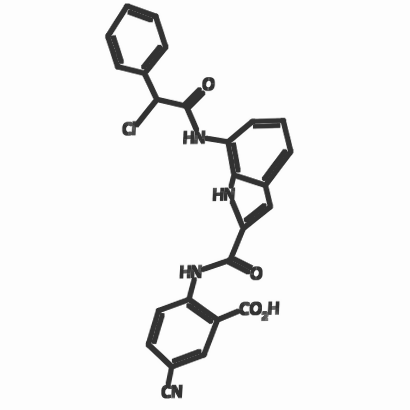 N#Cc1ccc(NC(=O)c2cc3cccc(NC(=O)C(Cl)c4ccccc4)c3[nH]2)c(C(=O)O)c1